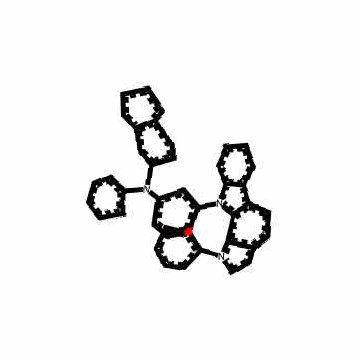 c1ccc(N(c2cccc(-n3c4ccccc4c4ccc5ccn(-c6ccccc6)c5c43)c2)c2ccc3ccccc3c2)cc1